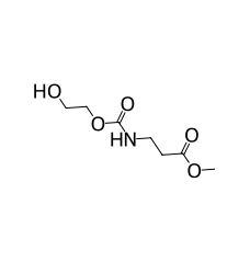 COC(=O)CCNC(=O)OCCO